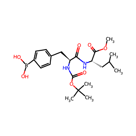 COC(=O)[C@H](CC(C)C)NC(=O)[C@H](Cc1ccc(B(O)O)cc1)NC(=O)OC(C)(C)C